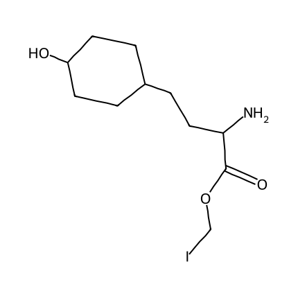 NC(CCC1CCC(O)CC1)C(=O)OCI